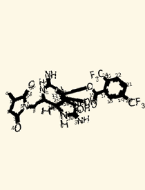 CC1CC(=O)N(CC2NC(=N)N3CC(OC(=O)c4cc(C(F)(F)F)ccc4C(F)(F)F)C(O)(O)[C@@]34NC(=N)N[C@@H]24)C1=O